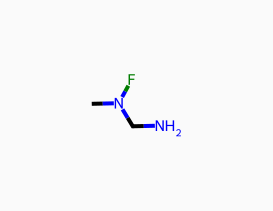 CN(F)CN